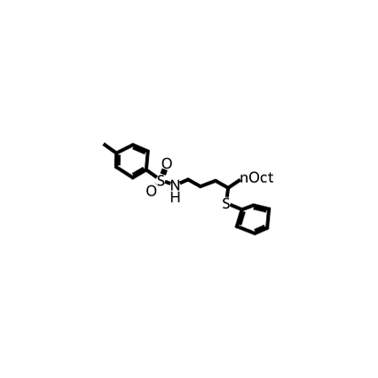 CCCCCCCCC(CCCNS(=O)(=O)c1ccc(C)cc1)Sc1ccccc1